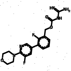 N=C(N)NC(=O)OCc1cccc(-c2cnc(N3CCOCC3)c(F)c2)c1F